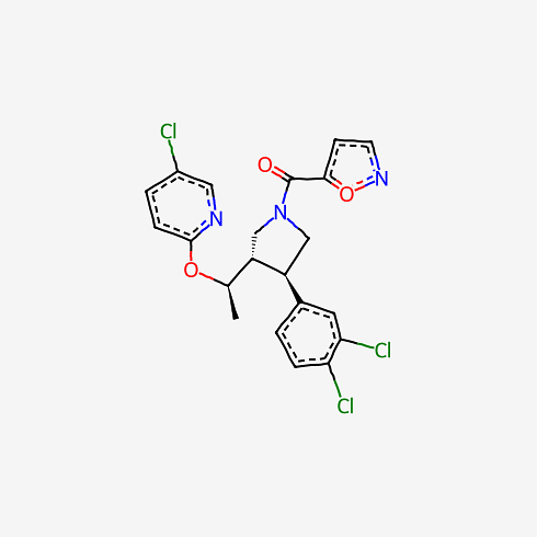 C[C@@H](Oc1ccc(Cl)cn1)[C@@H]1CN(C(=O)c2ccno2)C[C@H]1c1ccc(Cl)c(Cl)c1